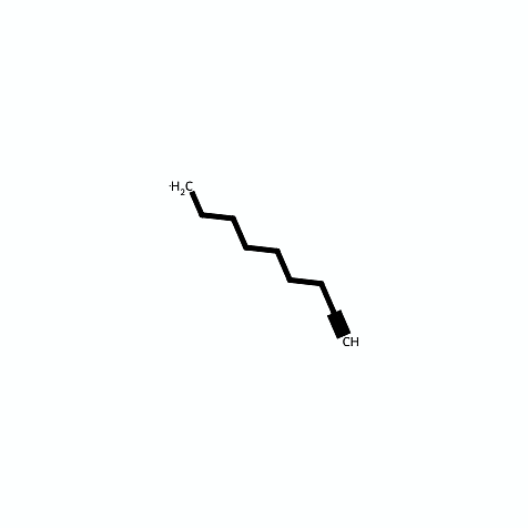 C#CCCCCCC[CH2]